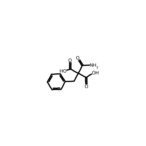 NC(=O)C(Cc1ccccc1)(C(=O)O)C(=O)O